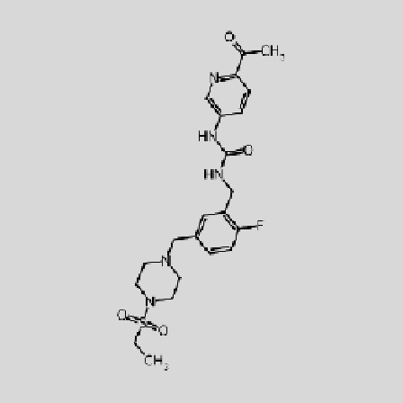 CCS(=O)(=O)N1CCN(Cc2ccc(F)c(CNC(=O)Nc3ccc(C(C)=O)nc3)c2)CC1